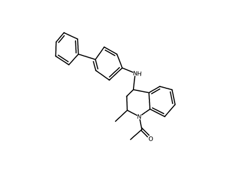 CC(=O)N1c2ccccc2C(Nc2ccc(-c3ccccc3)cc2)CC1C